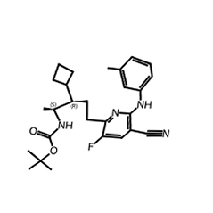 Cc1cccc(Nc2nc(CC[C@H](C3CCC3)[C@H](C)NC(=O)OC(C)(C)C)c(F)cc2C#N)c1